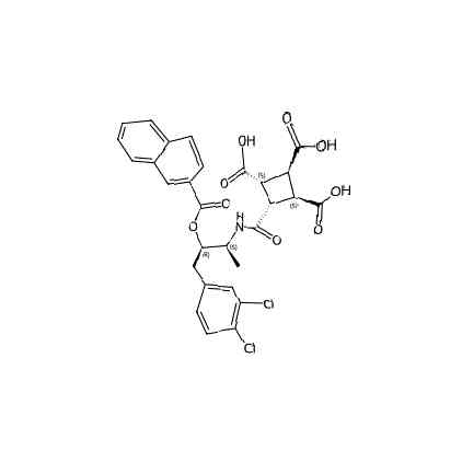 C[C@H](NC(=O)[C@H]1[C@H](C(=O)O)[C@H](C(=O)O)[C@H]1C(=O)O)[C@@H](Cc1ccc(Cl)c(Cl)c1)OC(=O)c1ccc2ccccc2c1